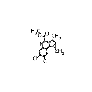 COC(=O)c1nc2cc(Cl)c(Cl)cc2c2c1c(C)cn2C